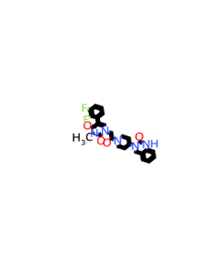 Cn1c(=O)c(-c2cccc(F)c2F)cn(CC(=O)N2CCC(N3Cc4ccccc4NC3=O)CC2)c1=O